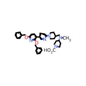 CN(CC1CCN(c2ccc(-c3ccc(OCc4ccccc4)nc3OCc3ccccc3)cn2)CC1)C1CCN(C(=O)O)CC1